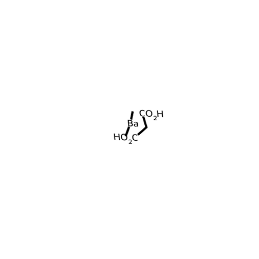 O=C(O)CC(=O)O.[CH3][Ba][CH3]